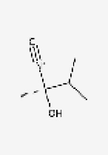 [C-]#[N+][C@](C)(O)C(C)C